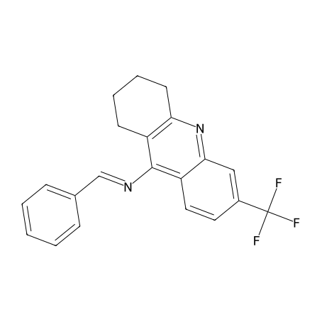 FC(F)(F)c1ccc2c(N=Cc3ccccc3)c3c(nc2c1)CCCC3